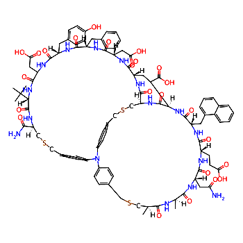 C[C@H]1CSCc2ccc(cc2)N2c3ccc(cc3)CSC[C@@H](C(N)=O)NC(=O)[C@H](C(C)(C)C)NC(=O)C(CC(=O)O)NC(=O)[C@H](Cc3ccc(O)cc3)NC(=O)[C@H](Cc3ccccc3)NC(=O)[C@H](CC(=O)O)NC(=O)[C@@H]3CC(C(=O)O)[C@@H](NC(=O)[C@H](Cc4cccc5ccccc45)NC(=O)[C@H](CCC(=O)O)NC(=O)[C@H](CC(N)=O)NC(=O)[C@@H](C)NC1=O)C(=O)N[C@@H](CSCc1ccc2cc1)C(=O)N3